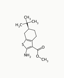 COC(=O)c1c(N)sc2c1CC[C@H](C(C)(C)C)C2